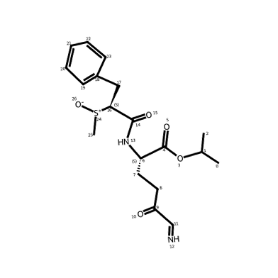 CC(C)OC(=O)[C@H](CCC(=O)C=N)NC(=O)[C@H](Cc1ccccc1)[S+](C)[O-]